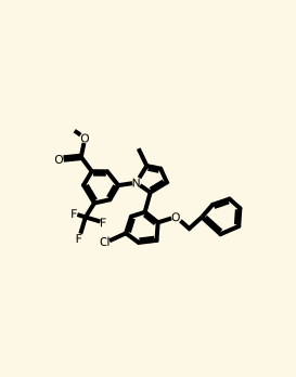 COC(=O)c1cc(-n2c(C)ccc2-c2cc(Cl)ccc2OCc2ccccc2)cc(C(F)(F)F)c1